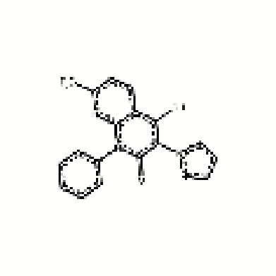 O=c1c(-n2cccn2)c(O)c2ccc(C(F)(F)F)nc2n1-c1ccccc1